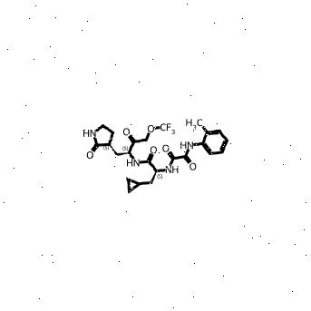 Cc1ccccc1NC(=O)C(=O)N[C@@H](CC1CC1)C(=O)N[C@@H](C[C@@H]1CCNC1=O)C(=O)COC(F)(F)F